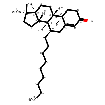 CC(=O)O[C@@]1(C)CC[C@H]2[C@@H]3[C@H](CCCCCCCCC(=O)O)CC4=CC(=O)CC[C@]4(C)[C@H]3CC[C@@]21C